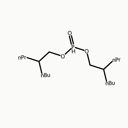 CCCCC(CCC)CO[PH](=O)OCC(CCC)CCCC